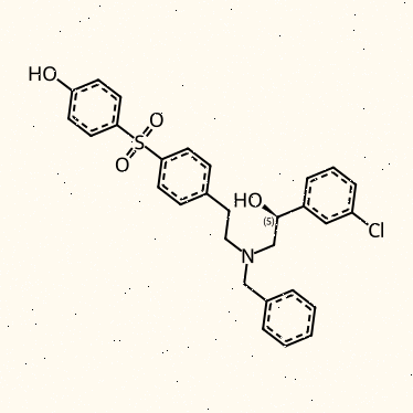 O=S(=O)(c1ccc(O)cc1)c1ccc(CCN(Cc2ccccc2)C[C@@H](O)c2cccc(Cl)c2)cc1